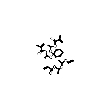 C=C(C)C(=O)OC(C)OC1(OC(C)OC(=O)C(=C)C)CCCCC1.C=COC(C)OC(C)OC(=O)C=C